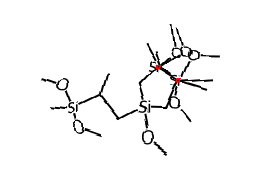 CO[Si](CC(C)[Si](C)(OC)OC)(CC(C)[Si](C)(OC)OC)CC(C)[Si](C)(OC)OC